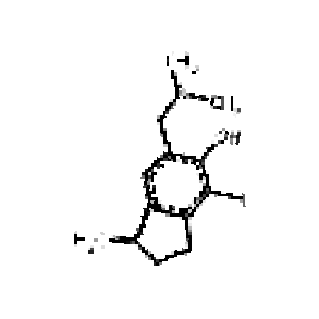 CC1CCc2c1cc(CN(C)C)c(O)c2I